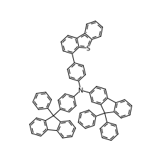 c1ccc(C2(c3ccc(N(c4ccc(-c5cccc6c5sc5ccccc56)cc4)c4ccc5c(c4)C(c4ccccc4)(c4ccccc4)c4ccccc4-5)cc3)c3ccccc3-c3ccccc32)cc1